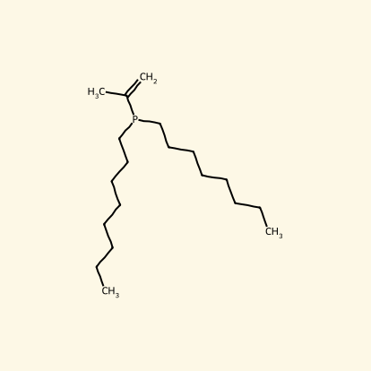 C=C(C)P(CCCCCCCC)CCCCCCCC